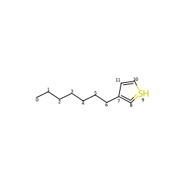 CCCCCCCC1=C=[SH]C=C1